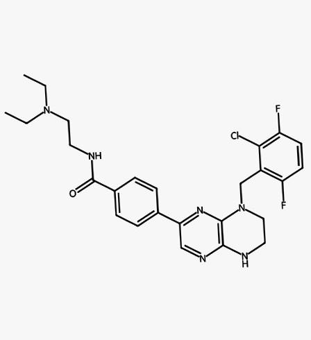 CCN(CC)CCNC(=O)c1ccc(-c2cnc3c(n2)N(Cc2c(F)ccc(F)c2Cl)CCN3)cc1